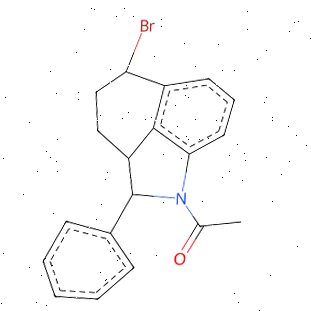 CC(=O)N1c2cccc3c2C(CCC3Br)C1c1ccccc1